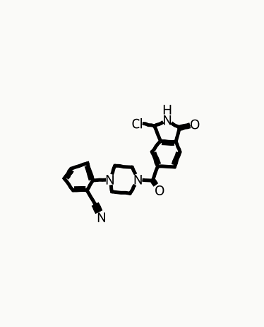 N#Cc1ccccc1N1CCN(C(=O)c2ccc3c(c2)C(Cl)NC3=O)CC1